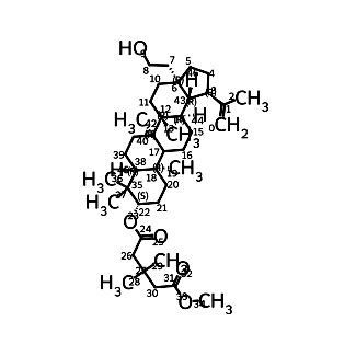 C=C(C)[C@@H]1CC[C@]2(CCO)CC[C@]3(C)[C@H](CCC4[C@@]5(C)CC[C@H](OC(=O)CC(C)(C)CC(=O)OC)C(C)(C)[C@@H]5CC[C@]43C)[C@@H]12